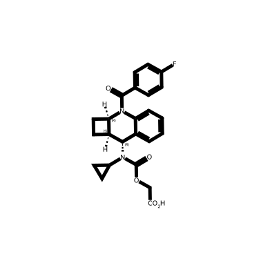 O=C(O)COC(=O)N(C1CC1)[C@H]1c2ccccc2N(C(=O)c2ccc(F)cc2)[C@@H]2CC[C@@H]21